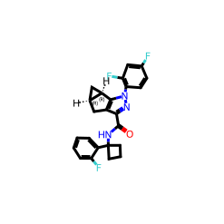 O=C(NC1(c2ccccc2F)CCC1)c1nn(-c2ccc(F)cc2F)c2c1C[C@H]1C[C@@H]21